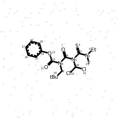 CCN(F)C(=S)N(C(=O)N(CC(C)(C)C)C(=O)Oc1ccccc1)C(Cl)Cl